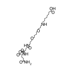 NC(=O)CC[C@H](NC(=O)CCC(=O)NCCCOCCCCOCCCNCCCCCCCC(=O)O)C(=O)O